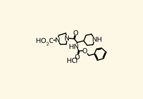 Cl.O=C(NC(C(=O)N1CCN(C(=O)O)CC1)C1CCNCC1)OCc1ccccc1